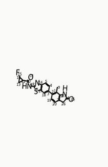 Cc1c(-c2ccc3nc(NC(=O)C4CC4F)sc3c2)ccc2c1NC(=O)C2